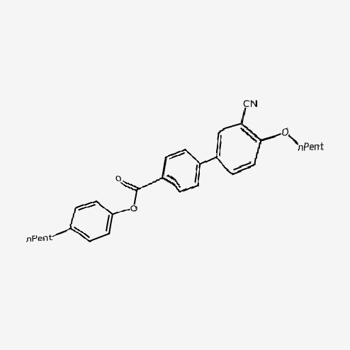 CCCCCOc1ccc(-c2ccc(C(=O)Oc3ccc(CCCCC)cc3)cc2)cc1C#N